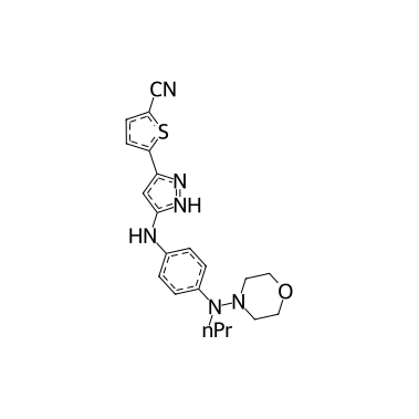 CCCN(c1ccc(Nc2cc(-c3ccc(C#N)s3)n[nH]2)cc1)N1CCOCC1